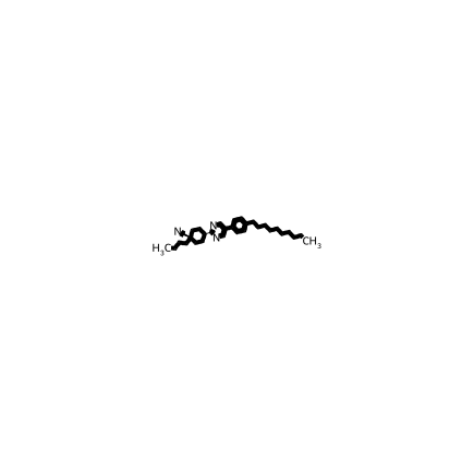 CCCCCCCCCCc1ccc(-c2cnc([C@H]3CC[C@@](C#N)(CCCC)CC3)nc2)cc1